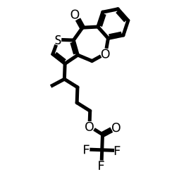 CC(CCCOC(=O)C(F)(F)F)c1csc2c1COc1ccccc1C2=O